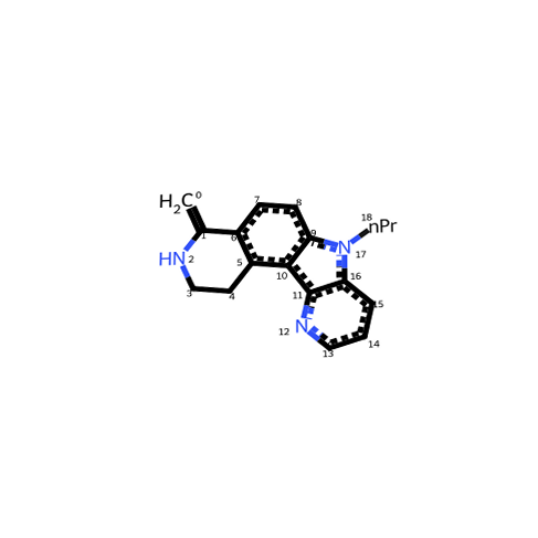 C=C1NCCc2c1ccc1c2c2ncccc2n1CCC